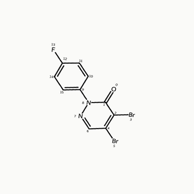 O=c1c(Br)c(Br)cnn1-c1ccc(F)cc1